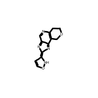 C1=C/C(=C2\N=c3cnc4c(c3=N2)COCC4)NO1